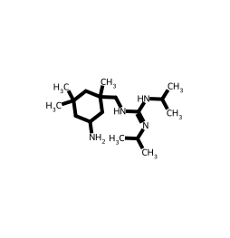 CC(C)/N=C(\NCC1(C)CC(N)CC(C)(C)C1)NC(C)C